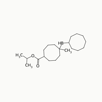 CC(C)OC(=O)C1CCCC(C)(BC2CCCCCCC2)CCC1